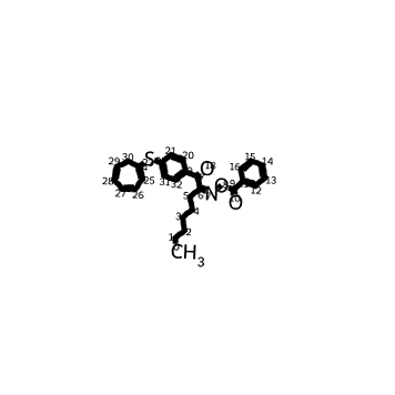 CCCCCC/C(=N/OC(=O)c1ccccc1)C(=O)c1ccc(SC2=CC=CC=CC2)cc1